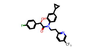 O=C([C@H](O)c1ccc(F)cc1)N(CCc1ccc(C(F)(F)F)cn1)c1ccc(C2CC2)cc1